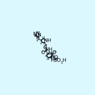 O=C(NOC[C@H]1C[C@@H](Cn2cnnn2)CN1)[C@@H]1CC[C@@H]2CN1C(=O)N2OS(=O)(=O)O